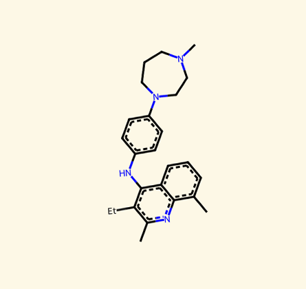 CCc1c(C)nc2c(C)cccc2c1Nc1ccc(N2CCCN(C)CC2)cc1